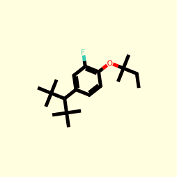 CCC(C)(C)Oc1ccc(C(C(C)(C)C)C(C)(C)C)cc1F